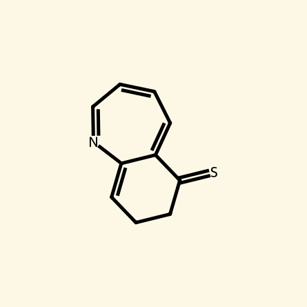 S=C1CCC=C2N=CC=CC=C12